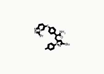 Cc1ccc(-n2nc(C(C)(C)C)cc2CC(C(N)=O)c2ccc(Sc3ccc4nnc(C(C)C)n4c3)cc2)cc1